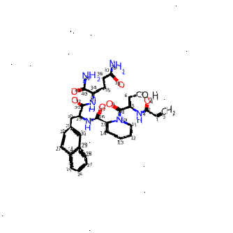 C=CC(=O)NC(CC(=O)O)C(=O)N1CCCC[C@H]1C(=O)NC(Cc1ccc2ccccc2c1)C(=O)NC(CCC(N)=O)C(N)=O